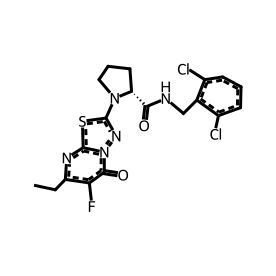 CCc1nc2sc(N3CCC[C@@H]3C(=O)NCc3c(Cl)cccc3Cl)nn2c(=O)c1F